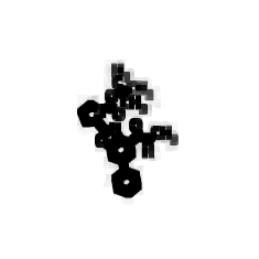 CNC(=O)c1cc(-c2ccccc2)cc2oc(C3CCCN3C(=O)OC(C)(C)C)nc12